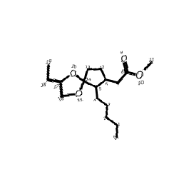 CCCCCC1C(CC(=O)OC)CCC12OCC(CC)O2